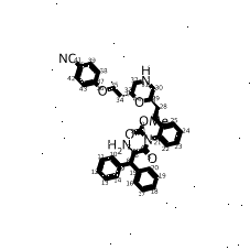 COC(=O)N(C(=O)[C@@H](N)C(c1ccccc1)c1ccccc1)c1ccccc1CC[C@@H]1CNC[C@@H](CCOc2ccc(C#N)cc2)O1